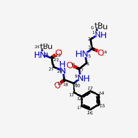 CC(C)(C)NCC(=O)NCC(=O)N[C@@H](Cc1ccccc1)C(=O)NCC(=O)NC(C)(C)C